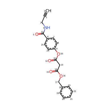 C#CCNC(=O)c1ccc(OC(=O)CC(=O)OCc2ccccc2)cc1